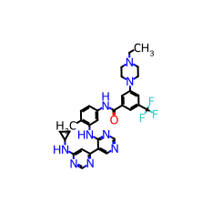 CCN1CCN(c2cc(C(=O)Nc3ccc(C)c(Nc4ncncc4-c4cc(NC5CC5)ncn4)c3)cc(C(F)(F)F)c2)CC1